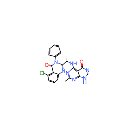 Cc1nc(N[C@@H](C)c2nc3cccc(Cl)c3c(=O)n2-c2ccccc2)c2c(=O)nc[nH]c2n1